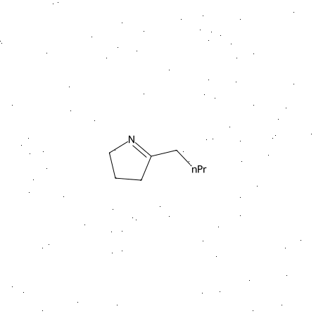 CCCCC1=NCCC1